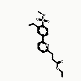 CCOC(=O)CCc1cccc(-c2ccc(S(=O)(=O)NC)c(CC)c2)n1